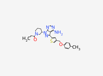 C=CC(=O)N1CCCC(n2nc(-c3cc(COc4ccc(C)cc4)cs3)c3c(N)ncnc32)C1